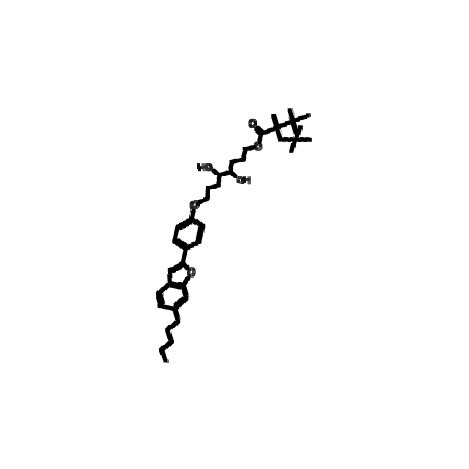 CCCCCc1ccc2cc(-c3ccc(OCCCC(O)C(O)CCCOC(=O)C(C)(CC(C)(C)C)C(C)(C)C)cc3)oc2c1